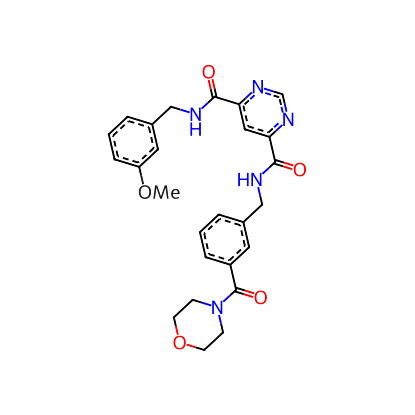 COc1cccc(CNC(=O)c2cc(C(=O)NCc3cccc(C(=O)N4CCOCC4)c3)ncn2)c1